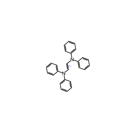 C(=C\N(c1ccccc1)c1ccccc1)/N(c1ccccc1)c1ccccc1